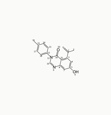 C=C(C)c1cc(O)cc2ncn(-c3ccc(C)cc3)c(=O)c12